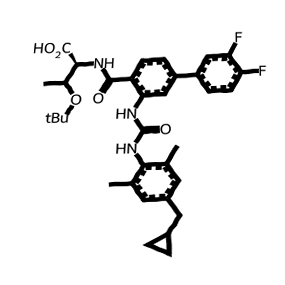 Cc1cc(CC2CC2)cc(C)c1NC(=O)Nc1cc(-c2ccc(F)c(F)c2)ccc1C(=O)N[C@H](C(=O)O)C(C)OC(C)(C)C